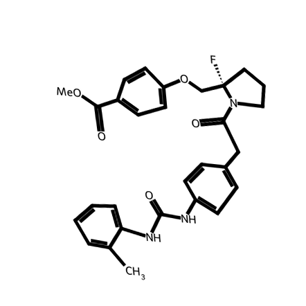 COC(=O)c1ccc(OC[C@@]2(F)CCCN2C(=O)Cc2ccc(NC(=O)Nc3ccccc3C)cc2)cc1